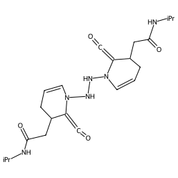 CC(C)NC(=O)CC1CC=CN(NNN2C=CCC(CC(=O)NC(C)C)C2=C=O)C1=C=O